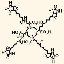 O=C(CCCCC1SCC2NC(=O)NC21)CCC(C(=O)O)N1CCN(C(CCC(=O)CCCCC2SCC3NC(=O)NC32)C(=O)O)CCN(C(CNC(=O)CCCCC2SCC3NC(=O)NC32)C(=O)O)CCN(C(CNC(=O)CCCCC2SCC3NC(=O)NC32)C(=O)O)CC1